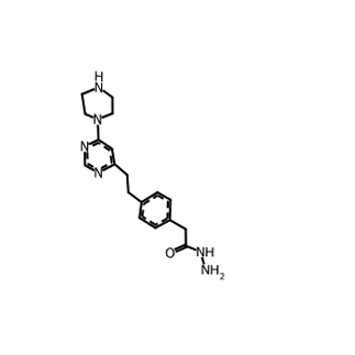 NNC(=O)Cc1ccc(CCc2cc(N3CCNCC3)ncn2)cc1